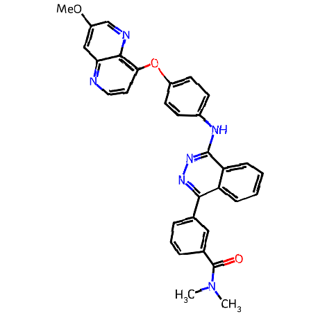 COc1cnc2c(Oc3ccc(Nc4nnc(-c5cccc(C(=O)N(C)C)c5)c5ccccc45)cc3)ccnc2c1